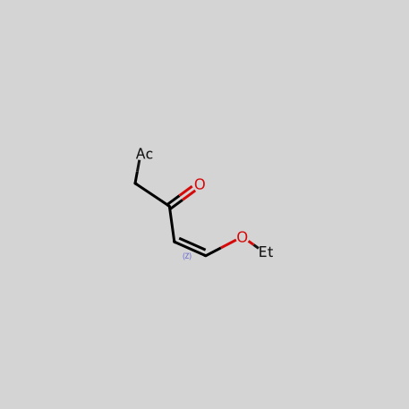 CCO/C=C\C(=O)CC(C)=O